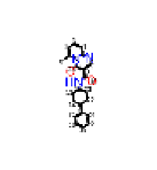 Cc1cccc2ncc(C(=O)NC3CCC(c4ccccc4)CC3)c(=O)n12